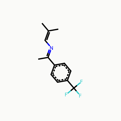 CC(C)=C/N=C(\C)c1ccc(C(F)(F)F)cc1